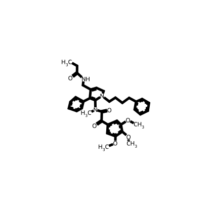 CCC(=O)NCC1=CCN(CCCCc2ccccc2)C(N(C)C(=O)C(=O)c2cc(OC)c(OC)c(OC)c2)=C1c1ccccc1